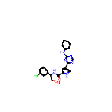 O=C(NC(CO)c1cccc(Cl)c1)c1cc(-c2ncnc(Nc3ccccc3)n2)c[nH]1